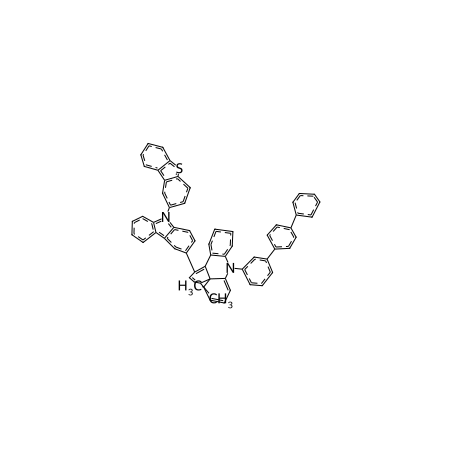 CC1C=CC=C2N(c3cccc(-c4ccc(-c5ccccc5)cc4)c3)c3ccccc3C3=C(c4ccc5c(c4)c4ccccc4n5-c4ccc5sc6ccccc6c5c4)C=CC(C)C231